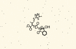 COC(=O)C(=C(C)CSc1nnc(C)s1)N1CC(NC(=O)c2ccccc2C(=O)O)C1=O